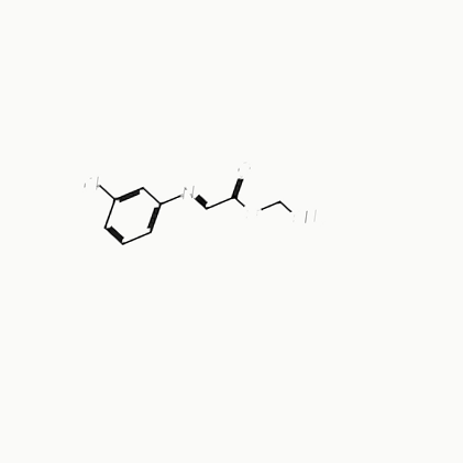 CCOC(=O)C=Nc1cccc(Cl)c1